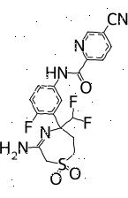 N#Cc1ccc(C(=O)Nc2ccc(F)c(C3(C(F)F)CCS(=O)(=O)CC(N)=N3)c2)nc1